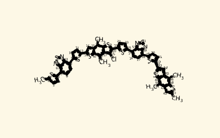 Cc1ccc(-c2ccc(-c3ccc(-c4cc5c(C)c6sc(-c7ccc(-c8ccc(-c9ccc(-c%10cc%11c(C)c%12sc(C)cc%12c(C)c%11s%10)s9)c9nsnc89)s7)c(Cl)c6c(C)c5s4)s3)c3nsnc23)s1